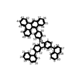 c1ccc2c(-c3ccc4c(c3)c3cc(-c5cccc6ccccc56)ccc3n4-c3ccc(-c4c5ccccc5cc5c6ccccc6c6ccccc6c45)cc3)cccc2c1